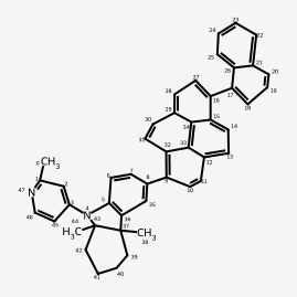 Cc1cc(N2c3ccc(-c4ccc5ccc6c(-c7cccc8ccccc78)ccc7ccc4c5c76)cc3C3(C)CCCCC23C)ccn1